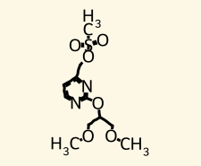 COCC(COC)Oc1nccc(COS(C)(=O)=O)n1